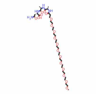 COCCOCCOCCOCCOCCOCCOCCOCCOCCOCCOCCOCCC(=O)N[C@H](C)C(=O)N[C@H](C)C(=O)N[C@@H](CC(N)=O)C(=O)O